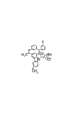 C=Cc1ccc2c(c1)-c1cc(C=C)c[c]([Zr+2]([C]3=CC(C(C)(C)C)=CC3CC)=[C](c3cccc(F)c3)c3cccc(F)c3)c1C2.[Cl-].[Cl-]